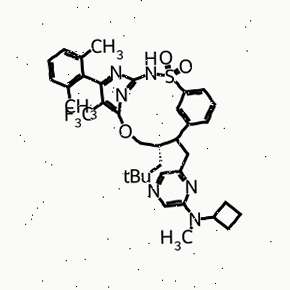 Cc1cccc(C)c1-c1nc2nc(c1C(F)(F)F)OC[C@@H](CC(C)(C)C)C(Cc1cncc(N(C)C3CCC3)n1)c1cccc(c1)S(=O)(=O)N2